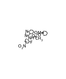 COc1ccc2ncnc(Nc3ccc([N+](=O)[O-])cc3F)c2c1O[C@H](C)COCc1ccccc1